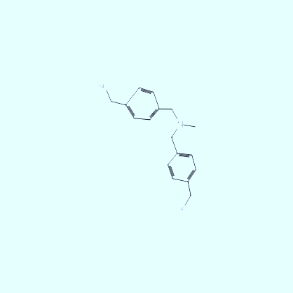 CN(Cc1ccc(CBr)cc1)Cc1ccc(CBr)cc1